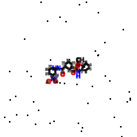 COc1ccccc1NS(=O)(=O)c1cccc(C(=O)Nc2cccc([N+](=O)[O-])c2)c1